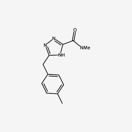 CNC(=O)c1nnc(Cc2ccc(C)cc2)[nH]1